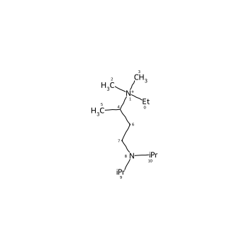 CC[N+](C)(C)C(C)CCN(C(C)C)C(C)C